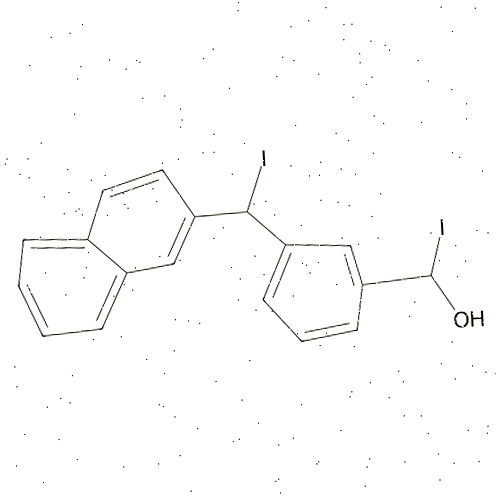 OC(I)c1cccc(C(I)c2ccc3ccccc3c2)c1